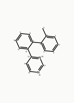 Cc1ccccc1-c1ccccc1-c1ccncn1